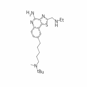 CCNCc1nc2c(N)nc3ccc(CCCCCN(C)C(C)(C)C)cc3c2s1